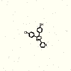 Sc1ccc(-c2sc(-c3cccnc3)nc2-c2ccc(Cl)cc2)cc1